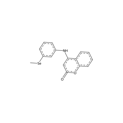 C[Se]c1cccc(Nc2cc(=O)oc3ccccc23)c1